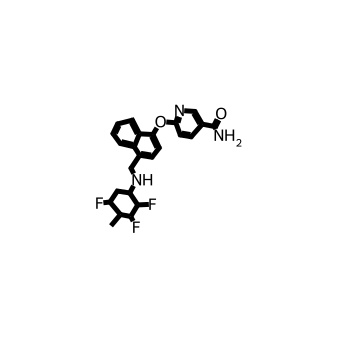 CC1C(F)CC(NCc2ccc(Oc3ccc(C(N)=O)cn3)c3ccccc23)C(F)C1F